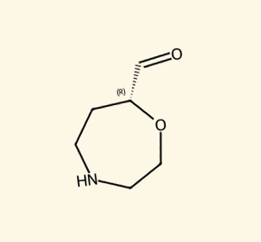 O=C[C@H]1CCNCCO1